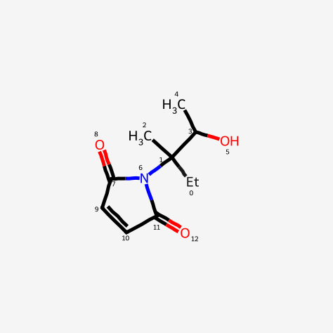 CCC(C)(C(C)O)N1C(=O)C=CC1=O